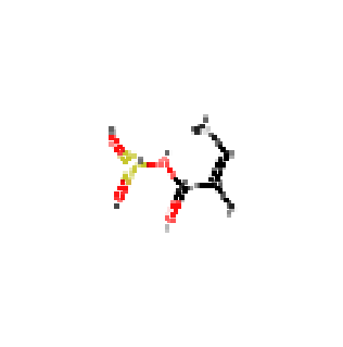 CCCC=C(C)C(=O)O[SH](=O)=O